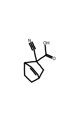 N#CC1(C(=O)O)CC2C=CC1CC2